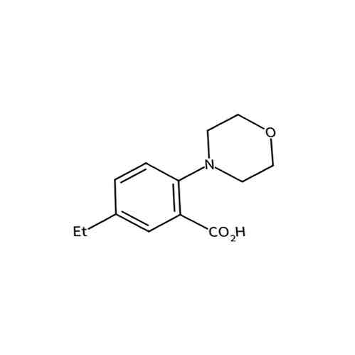 CCc1ccc(N2CCOCC2)c(C(=O)O)c1